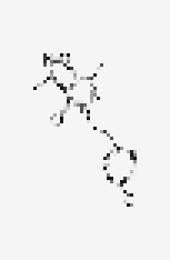 Cc1nn(CCc2ccc(Cl)cc2)c(=O)c2c(C)noc12